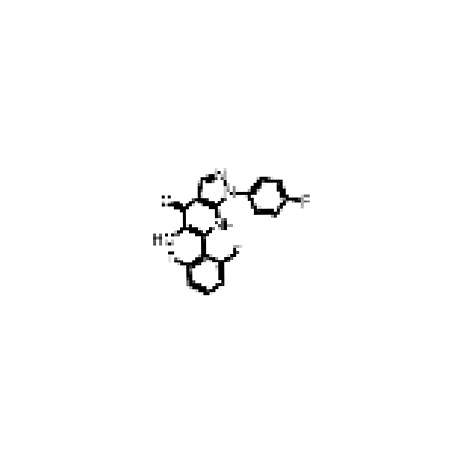 O=c1c(O)c(-c2c(F)cccc2F)[nH]c2c1cnn2-c1ccc(F)cc1